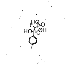 Cc1ccc(P(=O)(O)C(F)P(=O)(O)O)cc1